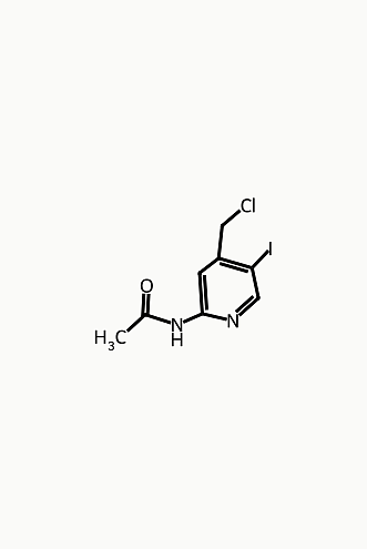 CC(=O)Nc1cc(CCl)c(I)cn1